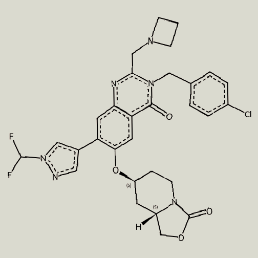 O=C1OC[C@@H]2C[C@@H](Oc3cc4c(=O)n(Cc5ccc(Cl)cc5)c(CN5CCC5)nc4cc3-c3cnn(C(F)F)c3)CCN12